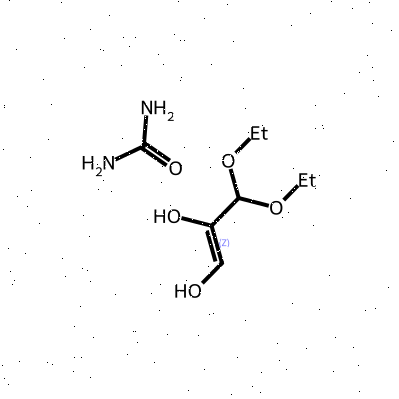 CCOC(OCC)/C(O)=C/O.NC(N)=O